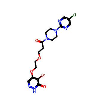 O=C(CCOCCOc1cn[nH]c(=O)c1Br)N1CCN(c2ncc(Cl)cn2)CC1